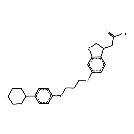 O=C(O)CC1COc2cc(OCCCOc3ccc(C4CCCCC4)cc3)ccc21